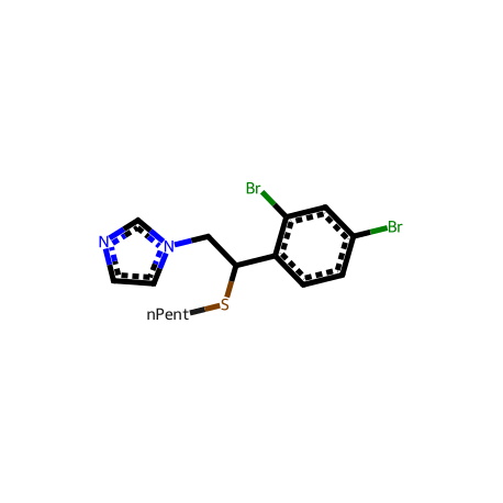 CCCCCSC(Cn1ccnc1)c1ccc(Br)cc1Br